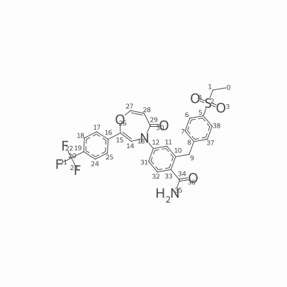 CCS(=O)(=O)c1ccc(Cc2cc(N3C=C(c4ccc(C(F)(F)F)cc4)OC=CC3=O)ccc2C(N)=O)cc1